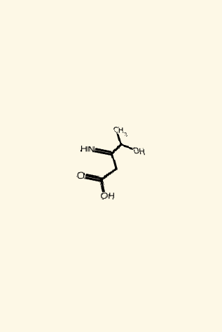 CC(O)C(=N)CC(=O)O